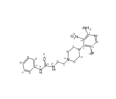 Nc1ncc(Br)c(N2CCN(CCNC(=O)Nc3ccccc3)CC2)c1[N+](=O)[O-]